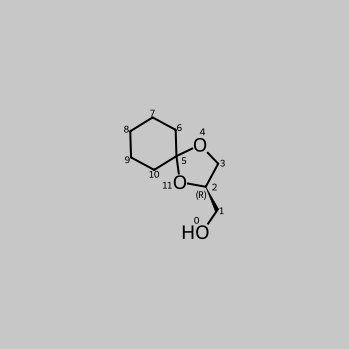 OC[C@@H]1COC2(CCCCC2)O1